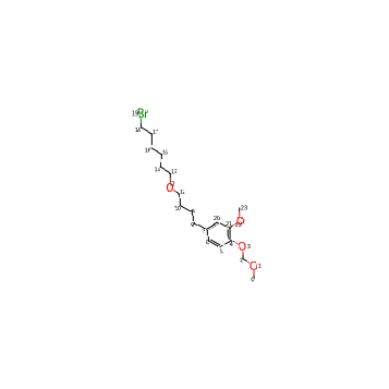 COCOc1ccc(CCCCOCCCCCCBr)cc1OC